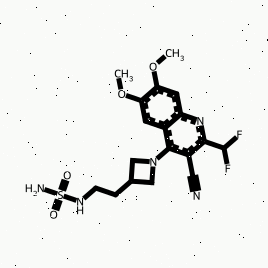 COc1cc2nc(C(F)F)c(C#N)c(N3CC(CCNS(N)(=O)=O)C3)c2cc1OC